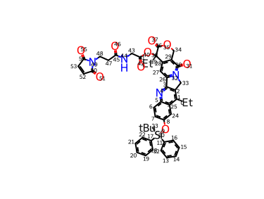 CCc1c2c(nc3ccc(O[Si](c4ccccc4)(c4ccccc4)C(C)(C)C)cc13)-c1cc3c(c(=O)n1C2)COC(=O)C3(CC)OC(=O)CNC(=O)CCN1C(=O)C=CC1=O